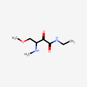 CCNC(=O)C(=O)C(COC)NC